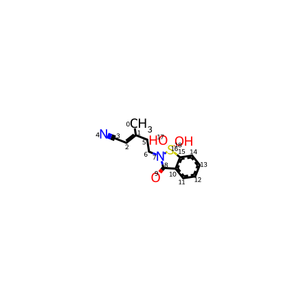 CC(=CC#N)CCN1C(=O)c2ccccc2S1(O)O